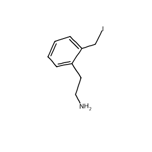 NCCc1ccccc1CI